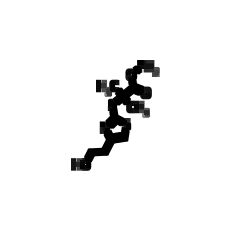 CC(C)(Sc1nc(CCO)cs1)C(=O)OP